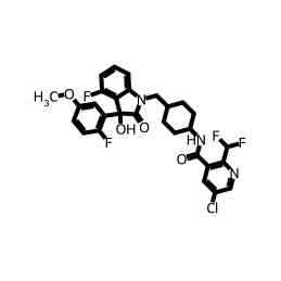 COc1ccc(F)c(C2(O)C(=O)N(CC3CCC(NC(=O)c4cc(Cl)cnc4C(F)F)CC3)c3cccc(F)c32)c1